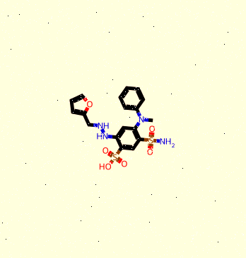 CN(c1ccccc1)c1cc(NNCc2ccco2)c(S(=O)(=O)O)cc1S(N)(=O)=O